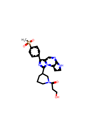 CS(=O)(=O)c1ccc(-c2nc(C3CCCN(C(=O)CCO)C3)n3c2cnc2[nH]ccc23)cc1